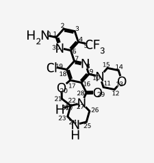 Nc1ccc(C(F)(F)F)c(-c2nc(N3CCOCC3)c3c(c2Cl)OC[C@H]2CNCCN2C3=O)n1